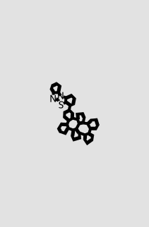 c1ccc2c(c1)nc1sc3c(-c4ccc5c(c4)c4cccc6c4-c4c(cccc4c4ccccc45)c4ccccc4c4ccccc64)cccc3n12